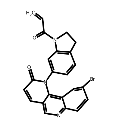 C=CC(=O)N1CCc2ccc(-n3c(=O)ccc4cnc5ccc(Br)cc5c43)cc21